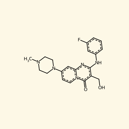 CN1CCN(c2ccn3c(=O)c(CO)c(Nc4cccc(F)c4)nc3c2)CC1